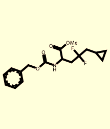 COC(=O)C(CC(F)(F)CC1CC1)NC(=O)OCc1ccccc1